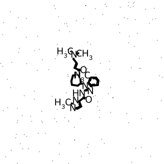 Cc1nccc(C(=O)Nc2nc3cccc(C)c3n2C2CCCCN(C(=O)C=CCN(C)C)C2)n1